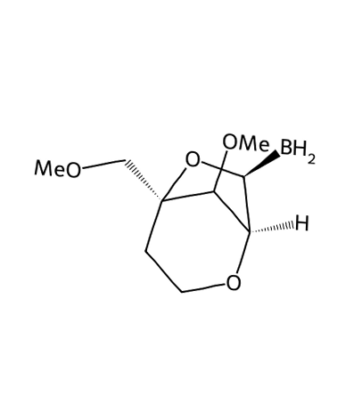 B[C@@H]1O[C@]2(COC)CCO[C@H]1C2OC